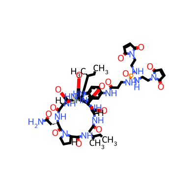 CCC(C)[C@@H]1NC(=O)[C@@H]2CCCN2C(=O)[C@H](CC(N)=O)NC(=O)[C@@H]2CSc3[nH]c4ccc(NC(=O)CCNP(=O)(NCCN5C(=O)C=CC5=O)NCCN5C(=O)C=CC5=O)cc4c3C[C@H](NC1=O)C(=O)NCC(=O)N[C@@H]([C@@H](C)CC)C(=O)NCC(=O)N2